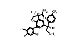 C[C@]1(C(N)=O)COc2c1cc(C(O)(CN)c1ccc(C(F)(F)F)cc1)nc2-c1cc(Cl)c(F)cc1F